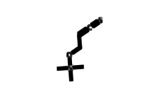 C[Si](C)(C)OCC=C=S